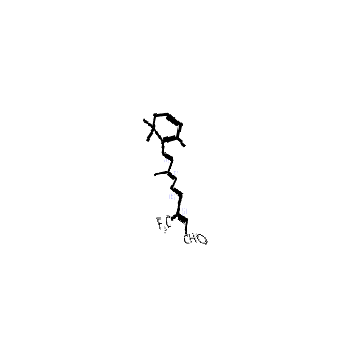 CC1=C(/C=C/C(C)=C/C=C/C(=C/C=O)C(F)(F)F)C(C)(C)CC=C1